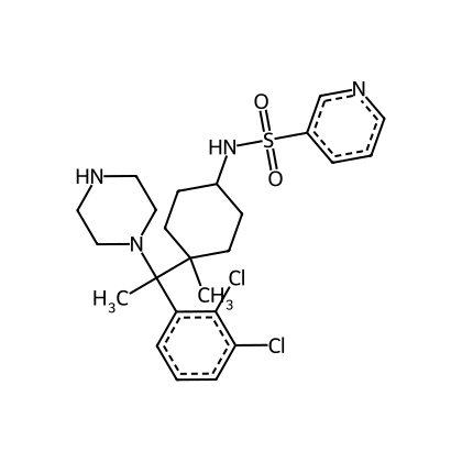 CC1(C(C)(c2cccc(Cl)c2Cl)N2CCNCC2)CCC(NS(=O)(=O)c2cccnc2)CC1